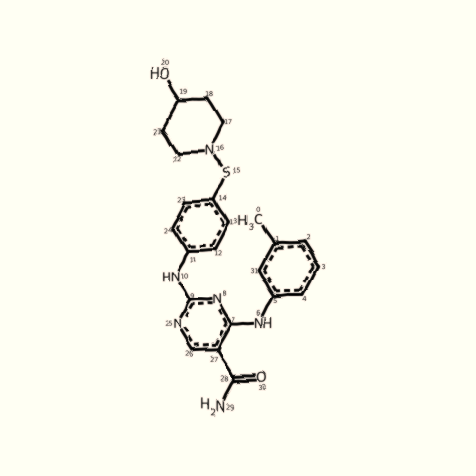 Cc1cccc(Nc2nc(Nc3ccc(SN4CCC(O)CC4)cc3)ncc2C(N)=O)c1